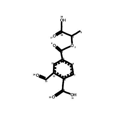 CC(OC(=O)c1ccc(C(=O)O)c(C=O)c1)C(=O)O